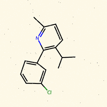 Cc1ccc(C(C)C)c(-c2cccc(Cl)c2)n1